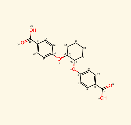 O=C(O)c1ccc(O[C@H]2CCCC[C@@H]2Oc2ccc(C(=O)O)cc2)cc1